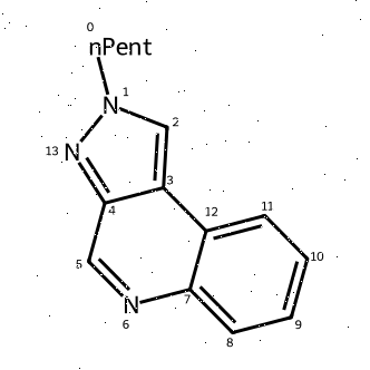 CCCCCn1cc2c(cnc3ccccc32)n1